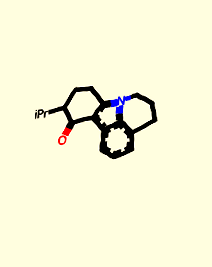 CC(C)C1CCc2c(c3cccc4c3n2CCC4)C1=O